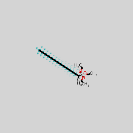 CCO[Si](OCC)(OCC)C(C)C(F)(F)C(F)(F)C(F)(F)C(F)(F)C(F)(F)C(F)(F)C(F)(F)C(F)(F)C(F)(F)C(F)(F)C(F)(F)C(F)(F)C(F)(F)F